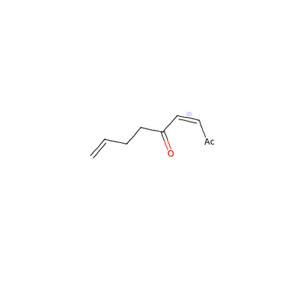 C=CCCC(=O)/C=C\C(C)=O